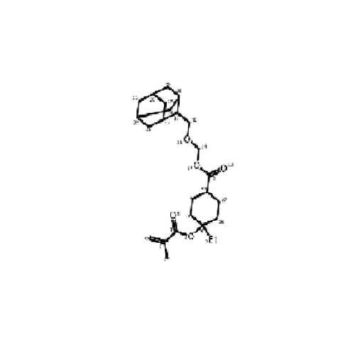 C=C(C)C(=O)OC1(CC)CCC(C(=O)OCOCC2C3CC4CC(C3)CC2C4)CC1